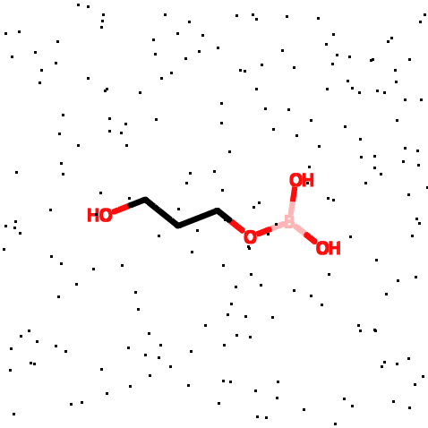 OCCCOB(O)O